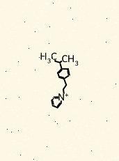 CCC(C)c1ccc(CCC[n+]2ccccc2)cc1